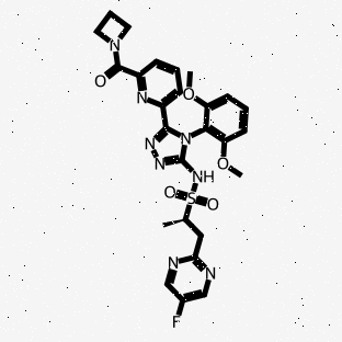 COc1cccc(OC)c1-n1c(NS(=O)(=O)[C@H](C)Cc2ncc(F)cn2)nnc1-c1cccc(C(=O)N2CCC2)n1